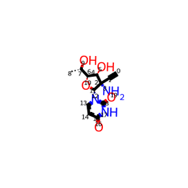 C#CC1(N)[C@@H](O)[C@@H]([C@H](C)O)O[C@H]1n1ccc(=O)[nH]c1=O